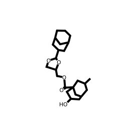 CC1CC2CC(O)CC(C(=O)OCC3COC(C4CC5CCCC(C5)C4)O3)(C1)C2